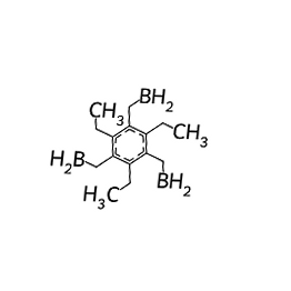 BCc1c(CC)c(CB)c(CC)c(CB)c1CC